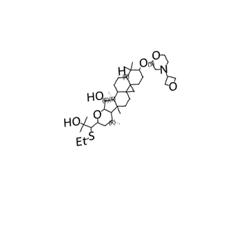 CCSC(C1C[C@@H](C)C2C(O1)[C@H](O)[C@@]1(C)C3CC[C@H]4C(C)(C)C(O[C@H]5CN(C6COC6)CCO5)CCC45CC35CCC21C)C(C)(C)O